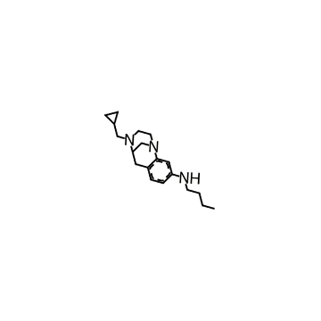 CCCCNc1ccc2c(c1)N1CCN(CC3CC3)C(C2)C1